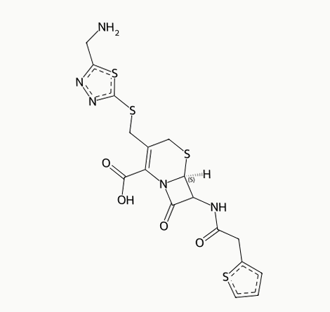 NCc1nnc(SCC2=C(C(=O)O)N3C(=O)C(NC(=O)Cc4cccs4)[C@@H]3SC2)s1